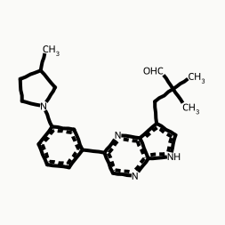 CC1CCN(c2cccc(-c3cnc4[nH]cc(CC(C)(C)C=O)c4n3)c2)C1